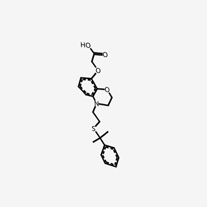 CC(C)(SCCN1CCOc2c(OCC(=O)O)cccc21)c1ccccc1